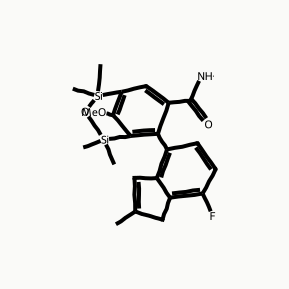 COc1c2cc(C([NH])=O)c(-c3ccc(F)c4c3C=C(C)C4)c1[Si](C)(C)O[Si]2(C)C